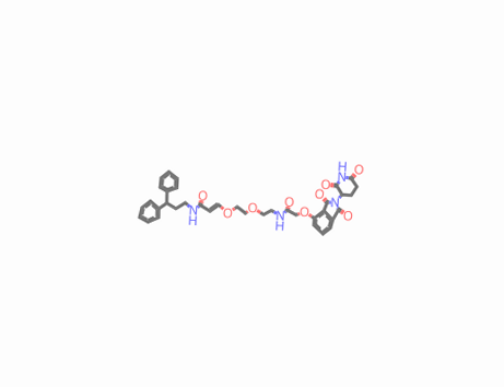 O=C(C=COCCOCCNC(=O)COc1cccc2c1C(=O)N(C1CCC(=O)NC1=O)C2=O)NCCC(c1ccccc1)c1ccccc1